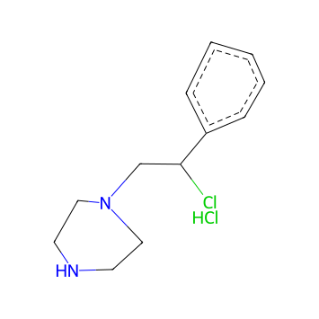 Cl.ClC(CN1CCNCC1)c1ccccc1